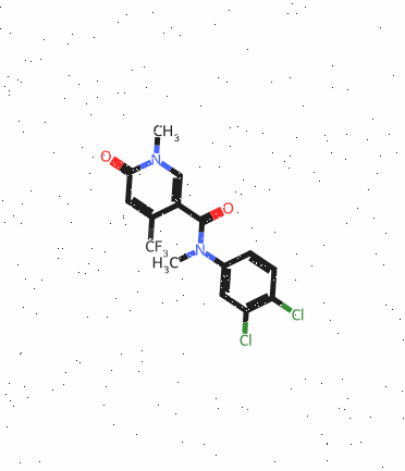 CN(C(=O)c1cn(C)c(=O)cc1C(F)(F)F)c1ccc(Cl)c(Cl)c1